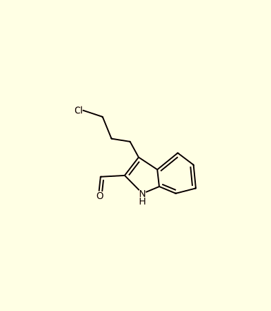 O=Cc1[nH]c2ccccc2c1CCCCl